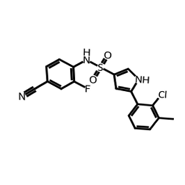 Cc1cccc(-c2cc(S(=O)(=O)Nc3ccc(C#N)cc3F)c[nH]2)c1Cl